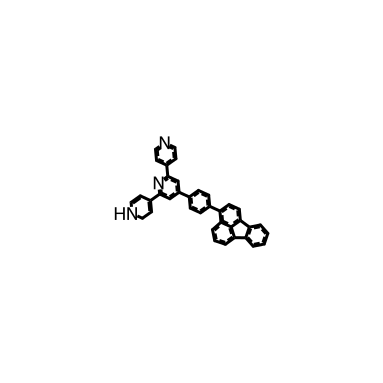 C1=CC(c2cc(-c3ccc(-c4ccc5c6c(cccc46)-c4ccccc4-5)cc3)cc(-c3ccncc3)n2)=CCN1